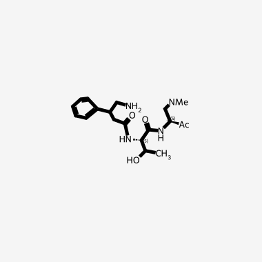 CNC[C@H](NC(=O)[C@@H](NC(=O)CC(CN)c1ccccc1)C(C)O)C(C)=O